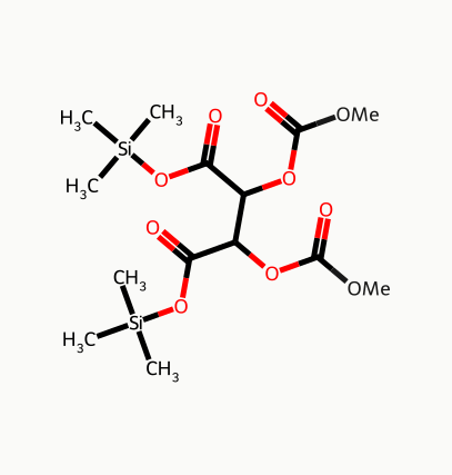 COC(=O)OC(C(=O)O[Si](C)(C)C)C(OC(=O)OC)C(=O)O[Si](C)(C)C